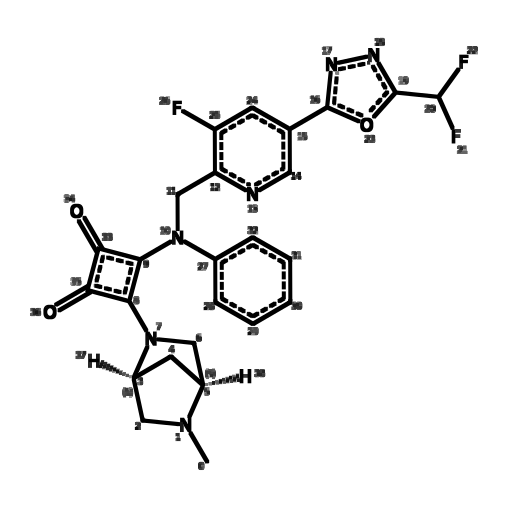 CN1C[C@@H]2C[C@H]1CN2c1c(N(Cc2ncc(-c3nnc(C(F)F)o3)cc2F)c2ccccc2)c(=O)c1=O